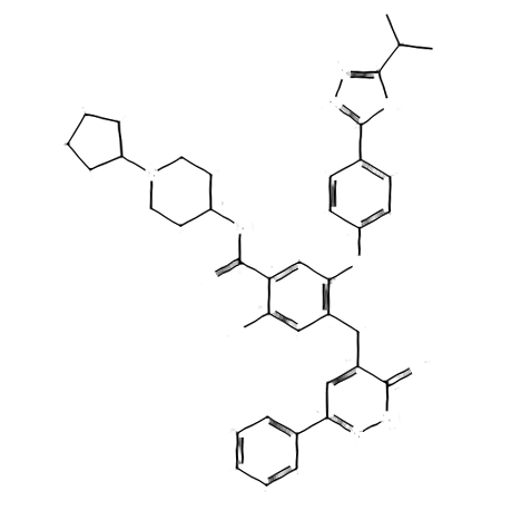 CC(C)c1nnc(-c2ccc(Oc3cc(C(=O)NC4CCN(C5CCCC5)CC4)c(F)cc3Cc3cc(-c4ccccc4)n[nH]c3=O)cc2)s1